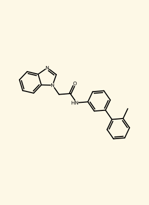 Cc1ccccc1-c1cccc(NC(=O)Cn2cnc3ccccc32)c1